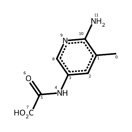 Cc1cc(NC(=O)C(=O)O)cnc1N